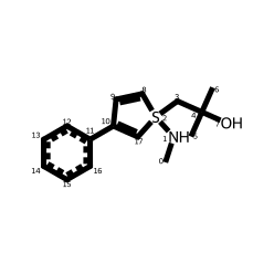 CNS1(CC(C)(C)O)C=CC(c2ccccc2)=C1